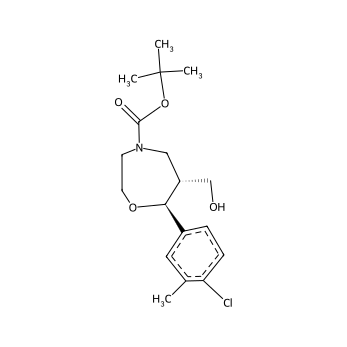 Cc1cc([C@H]2OCCN(C(=O)OC(C)(C)C)C[C@@H]2CO)ccc1Cl